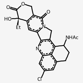 CC[C@@]1(O)C(=O)OCc2c1cc1n(c2=O)Cc2c-1nc1cc(Cl)cc3c1c2C(NC(C)=O)CC3